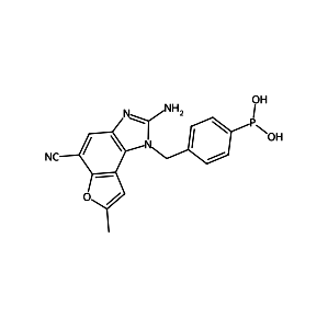 Cc1cc2c(o1)c(C#N)cc1nc(N)n(Cc3ccc(P(O)O)cc3)c12